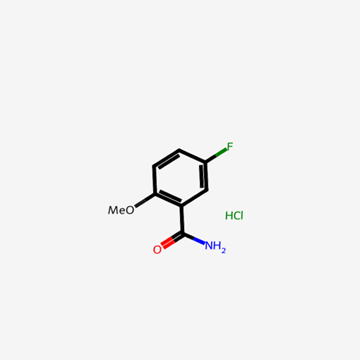 COc1ccc(F)cc1C(N)=O.Cl